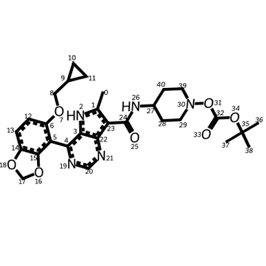 Cc1[nH]c2c(-c3c(OCC4CC4)ccc4c3OCO4)ncnc2c1C(=O)NC1CCN(OC(=O)OC(C)(C)C)CC1